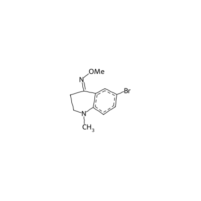 CO/N=C1/CCN(C)c2ccc(Br)cc21